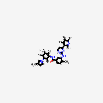 [2H]c1nc([2H])c(-c2ccnc(Nc3cc(C(=O)Nc4c([2H])c(C)c([2H])c(-n5ccc(C)c5)c4[2H])ccc3C)n2)c([2H])c1[2H]